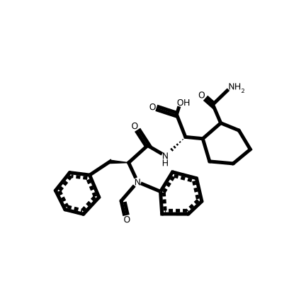 NC(=O)C1CCCCC1[C@H](NC(=O)[C@H](Cc1ccccc1)N(C=O)c1ccccc1)C(=O)O